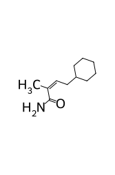 CC(=CCC1CCCCC1)C(N)=O